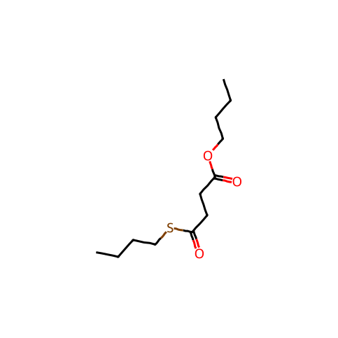 CCCCOC(=O)CCC(=O)SCCCC